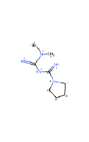 CCCCN(C)C(=N)NC(=N)N1CCCC1